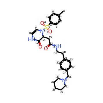 Cc1ccc(S(=O)(=O)N2C=CNC(=O)C2CC(=O)NCCc2ccc(CN3CCCCC3)cc2)cc1